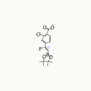 COC(=O)c1ccc(/C(F)=C/B2OC(C)(C)C(C)(C)O2)cc1Cl